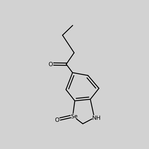 CCCC(=O)c1ccc2c(c1)[Se](=O)CN2